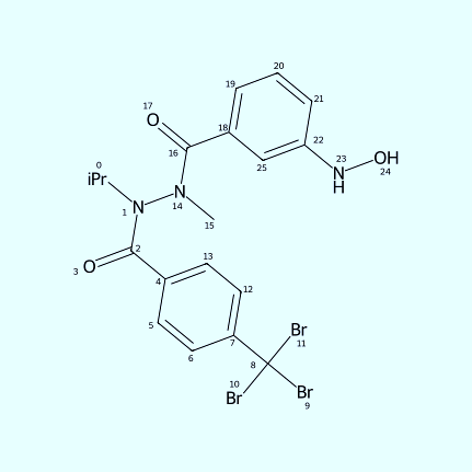 CC(C)N(C(=O)c1ccc(C(Br)(Br)Br)cc1)N(C)C(=O)c1cccc(NO)c1